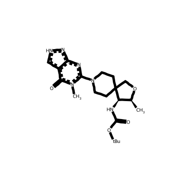 C[C@@H]1OCC2(CCN(c3nc4n[nH]cc4c(=O)n3C)CC2)[C@@H]1NC(=O)OC(C)(C)C